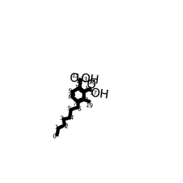 CCCCCCCc1ccc(C(=O)O)c(C(=O)O)c1C